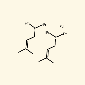 CC(C)=CCP(C(C)C)C(C)C.CC(C)=CCP(C(C)C)C(C)C.[Pd]